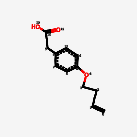 C=CCCOc1ccc(CC(=O)O)cc1